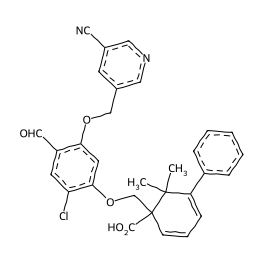 CC1(C)C(c2ccccc2)=CC=CC1(COc1cc(OCc2cncc(C#N)c2)c(C=O)cc1Cl)C(=O)O